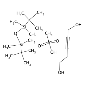 CC(C)(C)[Si](C)(C)O[Si](C)(C)C(C)(C)C.CS(=O)(=O)O.OCC#CCCO